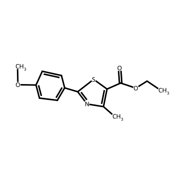 CCOC(=O)c1sc(-c2ccc(OC)cc2)nc1C